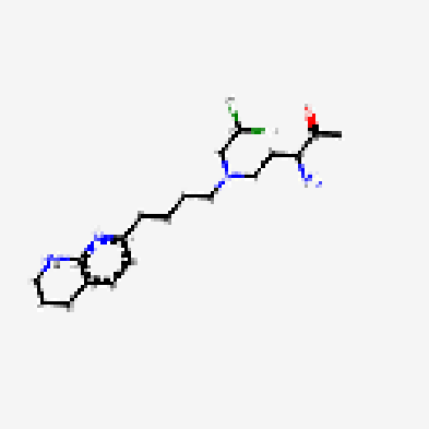 CC(=O)C(N)CCN(CCCCc1ccc2c(n1)NCCC2)CC(F)F